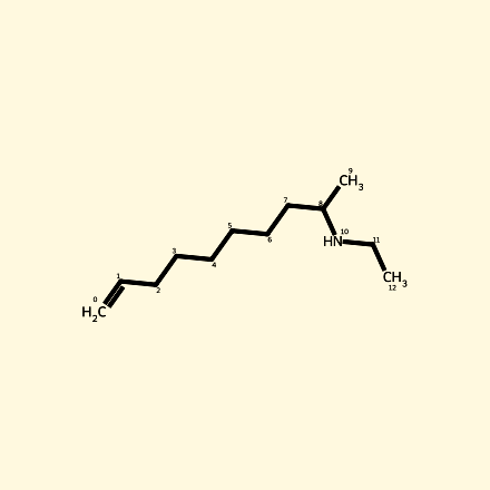 C=CCCCCCCC(C)NCC